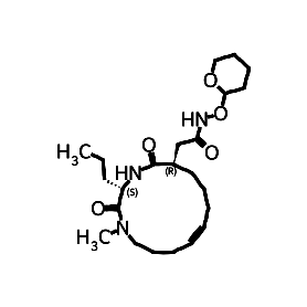 CCC[C@@H]1NC(=O)[C@@H](CC(=O)NOC2CCCCO2)CCCC=CCCCN(C)C1=O